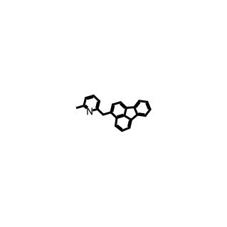 Cc1cccc(Cc2ccc3c4c(cccc24)-c2ccccc2-3)n1